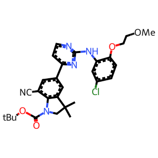 COCCOc1ccc(Cl)cc1Nc1nccc(-c2cc(C#N)c3c(c2)C(C)(C)CN3C(=O)OC(C)(C)C)n1